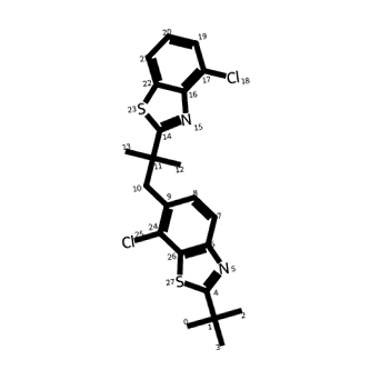 CC(C)(C)c1nc2ccc(CC(C)(C)c3nc4c(Cl)cccc4s3)c(Cl)c2s1